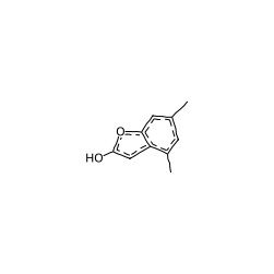 Cc1cc(C)c2cc(O)oc2c1